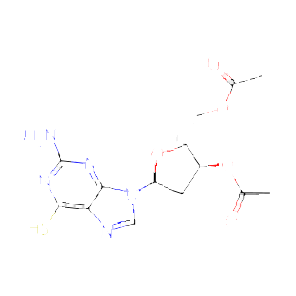 CC(=O)OC[C@H]1OC(n2cnc3c(S)nc(N)nc32)C[C@@H]1OC(C)=O